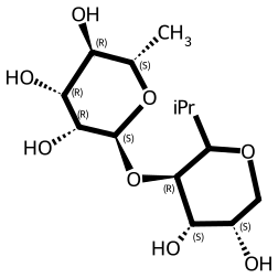 CC(C)C1OC[C@H](O)[C@H](O)[C@H]1O[C@@H]1O[C@@H](C)[C@H](O)[C@@H](O)[C@H]1O